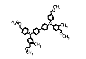 COCc1ccc(N(c2ccc(-c3ccc(N(c4ccc(COC)cc4)c4ccc(COC)c(C)c4)cc3)cc2)c2ccc(COC)c(C)c2)cc1